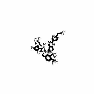 N#CCc1ccc(-c2ncc3c(n2)CN(C(=O)c2cc(CN4C(=N)N[C@](CCCC(F)(F)F)(c5ccc(F)cc5)C4=O)ccc2C(F)(F)F)C3)cn1